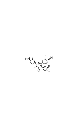 COc1ccc(-n2c(-c3ccc(C#N)c(F)c3)nc(N3CCC4NCCC4C3)c(C)c2=O)cc1F